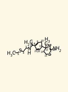 C=C(NCCSCC)C1=CCC(C2(C)CCSC(N)=N2)C=C1